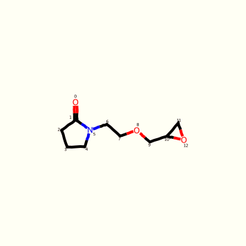 O=C1CCCN1CCOCC1CO1